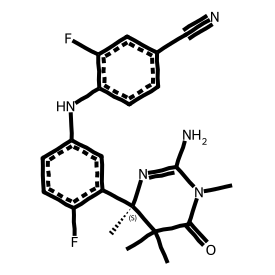 CN1C(=O)C(C)(C)[C@@](C)(c2cc(Nc3ccc(C#N)cc3F)ccc2F)N=C1N